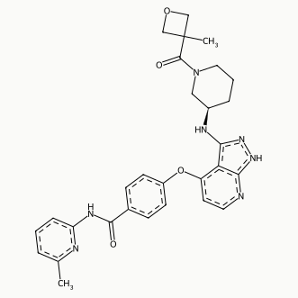 Cc1cccc(NC(=O)c2ccc(Oc3ccnc4[nH]nc(N[C@@H]5CCCN(C(=O)C6(C)COC6)C5)c34)cc2)n1